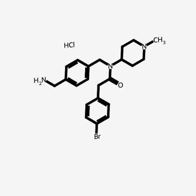 CN1CCC(N(Cc2ccc(CN)cc2)C(=O)Cc2ccc(Br)cc2)CC1.Cl